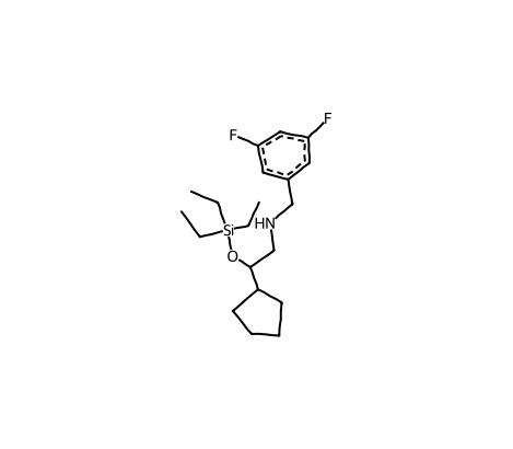 CC[Si](CC)(CC)OC(CNCc1cc(F)cc(F)c1)C1CCCC1